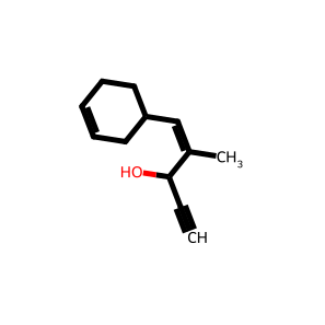 C#CC(O)C(C)=CC1CC=CCC1